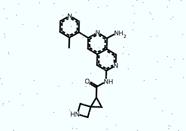 Cc1ccncc1-c1cc2cc(NC(=O)C3CC34CNC4)ncc2c(N)n1